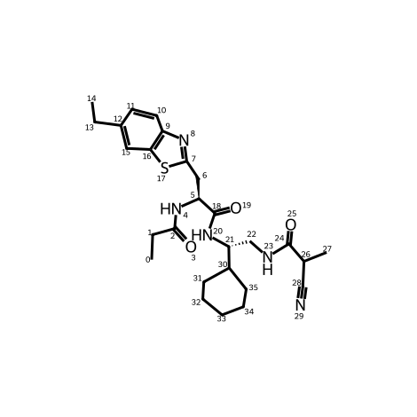 CCC(=O)N[C@@H](Cc1nc2ccc(CC)cc2s1)C(=O)N[C@H](CNC(=O)C(C)C#N)C1CCCCC1